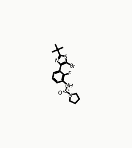 CC(C)(C)c1nc(-c2cccc(N[S+]([O-])N3CCCC3)c2F)c(Br)s1